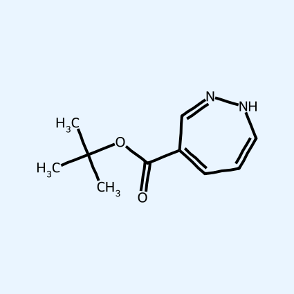 CC(C)(C)OC(=O)C1=CC=CNN=C1